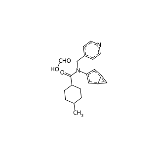 CC1CCC(C(=O)N(Cc2ccncc2)c2cc3cc-3c2)CC1.O=CO